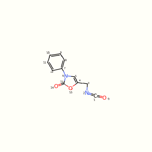 O=C=NCc1cn(-c2ccccc2)c(=O)o1